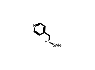 CSNCc1ccncc1